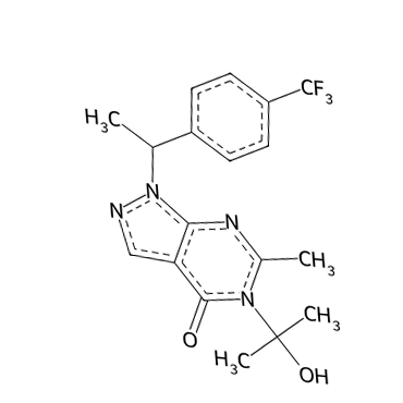 Cc1nc2c(cnn2C(C)c2ccc(C(F)(F)F)cc2)c(=O)n1C(C)(C)O